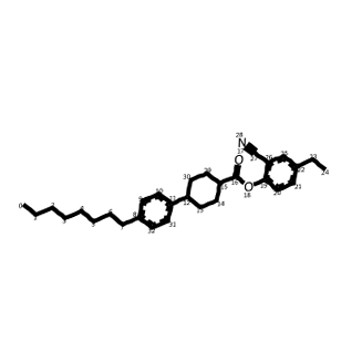 CCCCCCCCc1ccc(C2CCC(C(=O)Oc3ccc(CC)cc3C#N)CC2)cc1